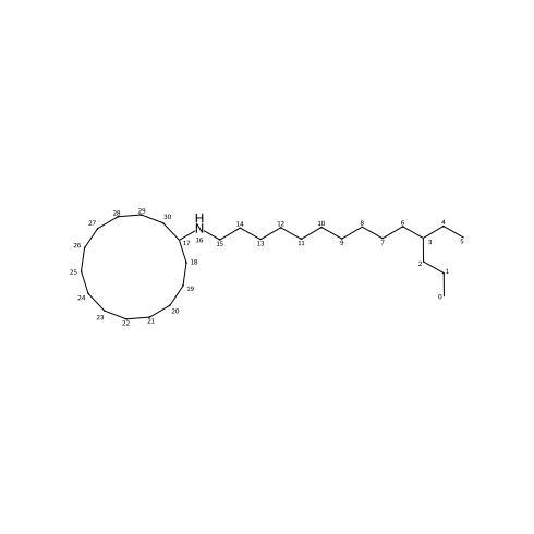 CCCC(CC)CCCCCCCCCCNC1CCCCCCCCCCCCC1